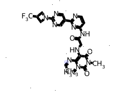 C/C=N\c1c(NCC(=O)Nc2ccnc(-c3cnc(N4CC(C(F)(F)F)C4)nc3)n2)c(=O)n(C)c(=O)n1C